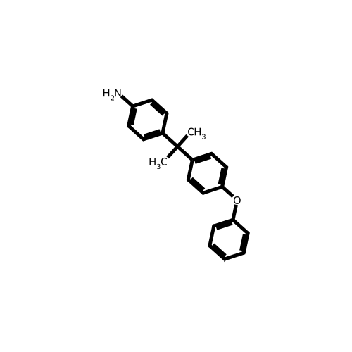 CC(C)(c1ccc(N)cc1)c1ccc(Oc2cc[c]cc2)cc1